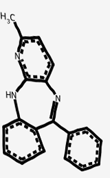 Cc1ccc2c(n1)Nc1ccccc1C(c1ccccc1)=N2